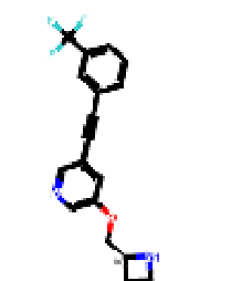 FC(F)(F)c1cccc(C#Cc2cncc(OC[C@@H]3CCN3)c2)c1